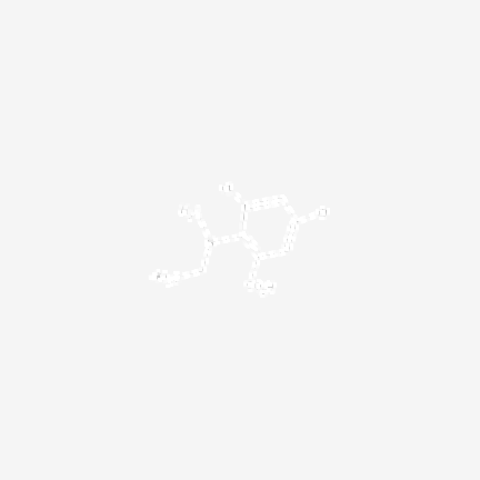 CN(CC(=O)O)c1c(Cl)cc(Cl)cc1C(=O)O